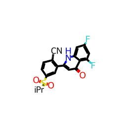 CC(C)S(=O)(=O)c1ccc(C#N)c(-c2cc(=O)c3c(F)cc(F)cc3[nH]2)c1